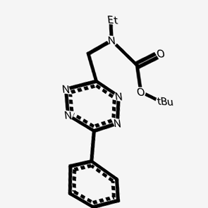 CCN(Cc1nnc(-c2ccccc2)nn1)C(=O)OC(C)(C)C